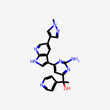 Cn1cc(-c2cnc3[nH]cc(-c4cc(C(C)(O)c5ccncc5)nc(N)n4)c3c2)cn1